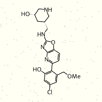 COCc1cc(Cl)cc(O)c1-c1ccc2oc(NC[C@H]3CNC[C@@H](O)C3)nc2n1